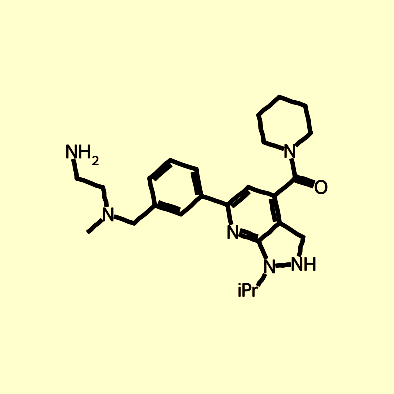 CC(C)N1NCc2c(C(=O)N3CCCCC3)cc(-c3cccc(CN(C)CCN)c3)nc21